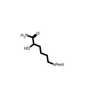 CCCCCCCCCC(O)C(N)=O